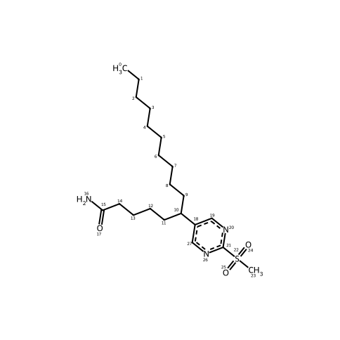 CCCCCCCCCCC(CCCCC(N)=O)c1cnc(S(C)(=O)=O)nc1